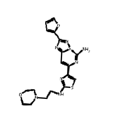 Nc1nc(-c2csc(NCCN3CCOCC3)n2)cc2nc(-c3ccco3)nn12